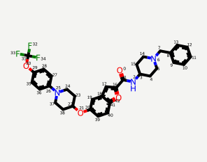 O=C(NC1CCN(Cc2ccccc2)CC1)c1cc2cc(OC3CCN(c4ccc(OC(F)(F)F)cc4)CC3)ccc2o1